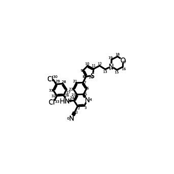 N#Cc1cnc2cc(-c3ccc(CCN4CCOCC4)s3)ccc2c1Nc1ccc(Cl)cc1Cl